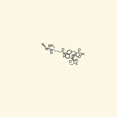 CCC1SC[C@@H](C(=O)N[C@@H](Cc2ccc(NC(=O)CCCCN/C(N)=N/C#N)cc2)C(=O)O)N1S(=O)(=O)c1ccccc1